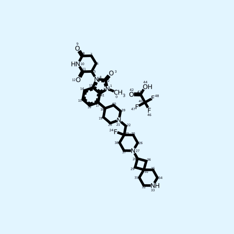 Cn1c(=O)n(C2CCC(=O)NC2=O)c2cccc(C3CCN(CC4(F)CCN(C5CC6(CCNCC6)C5)CC4)CC3)c21.O=C(O)C(F)(F)F